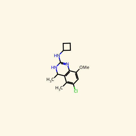 COc1cc(Cl)c(C)c2c1N=C(NC1CCC1)NC2C